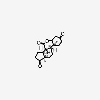 C[C@]12CCC(=O)CC1OC(=O)[C@@H]1[C@H]2CC[C@]2(C)C(=O)CC[C@@H]12